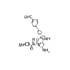 COC(=O)NCC(=O)N1CC(N)CC1c1nc(-c2ccc(-c3ccc(C=O)cc3)cc2)c[nH]1